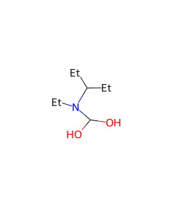 CCC(CC)N(CC)C(O)O